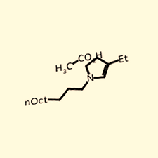 CC(=O)O.CCCCCCCCCCCN1C=C(CC)CC1